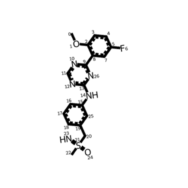 COc1ccc(F)cc1-c1ncnc(Nc2cccc(CS(C)(=N)=O)c2)n1